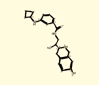 O=C(NCC(O)[C@@H]1Cc2ccc(O)cc2CN1)c1cccc(NC2CCC2)c1